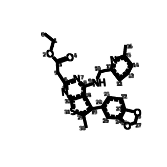 CCOC(=O)Cc1nc(NCc2cccc(C)n2)c2c(-c3ccc4c(c3)OCO4)c(C)sc2n1